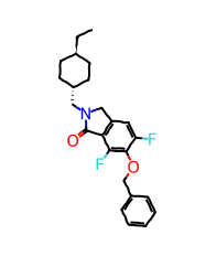 CC[C@H]1CC[C@H](CN2Cc3cc(F)c(OCc4ccccc4)c(F)c3C2=O)CC1